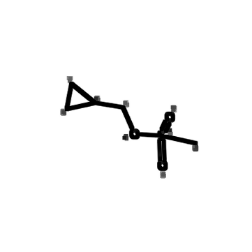 CS(=O)(=O)OCC1CC1